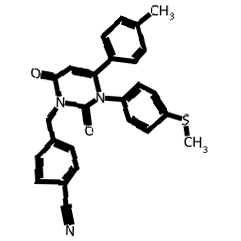 CSc1ccc(-n2c(-c3ccc(C)cc3)cc(=O)n(Cc3ccc(C#N)cc3)c2=O)cc1